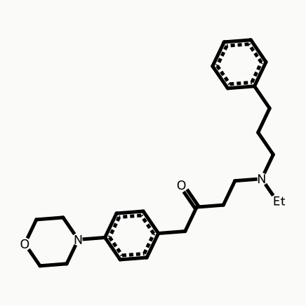 CCN(CCCc1ccccc1)CCC(=O)Cc1ccc(N2CCOCC2)cc1